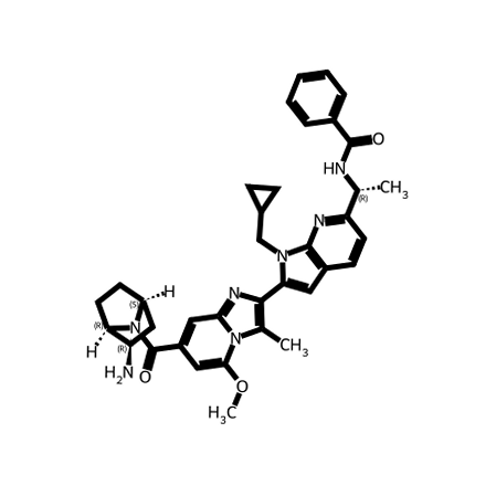 COc1cc(C(=O)N2[C@H]3CC[C@@H]2[C@H](N)C3)cc2nc(-c3cc4ccc([C@@H](C)NC(=O)c5ccccc5)nc4n3CC3CC3)c(C)n12